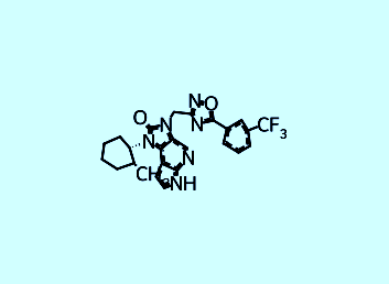 C[C@@H]1CCCC[C@@H]1n1c(=O)n(Cc2noc(-c3cccc(C(F)(F)F)c3)n2)c2cnc3[nH]ccc3c21